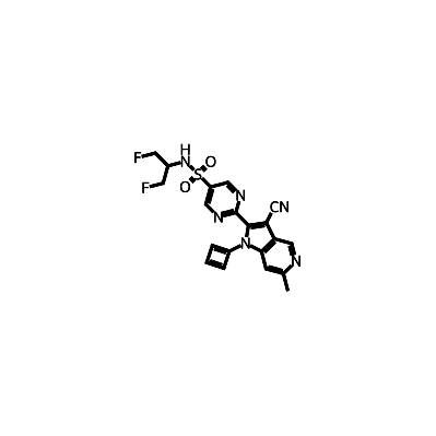 Cc1cc2c(cn1)c(C#N)c(-c1ncc(S(=O)(=O)NC(CF)CF)cn1)n2C1=CC=C1